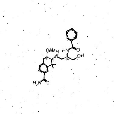 CO[C@H]1Cc2ccc(C(N)=O)cc2C(C)(C)[C@@H]1NC[C@H](CO)NC(=O)c1ccccc1